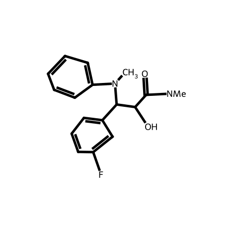 CNC(=O)C(O)C(c1cccc(F)c1)N(C)c1ccccc1